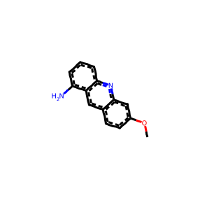 COc1ccc2cc3c(N)cccc3nc2c1